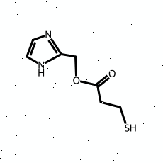 O=C(CCS)OCc1ncc[nH]1